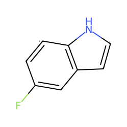 Fc1c[c]c2[nH]ccc2c1